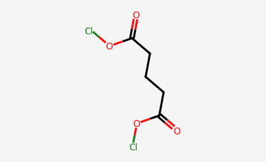 O=C(CCCC(=O)OCl)OCl